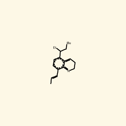 C/C=C/c1ccc(C(CC)CC(C)CC)c2c1=NCCC=2